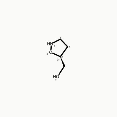 OC[C@@H]1CCNO1